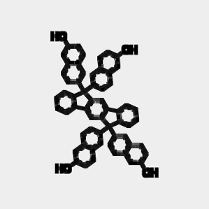 Oc1ccc2cc(C3(c4ccc5cc(O)ccc5c4)c4ccccc4-c4cc5c(cc43)-c3ccccc3C5(c3ccc4cc(O)ccc4c3)c3ccc4cc(O)ccc4c3)ccc2c1